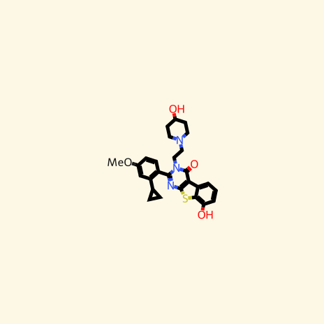 COc1ccc(-c2nc3sc4c(O)cccc4c3c(=O)n2CCN2CCC(O)CC2)c(C2CC2)c1